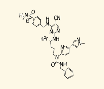 CCC[C@@H](CCCN(C(=O)NCc1ccccc1)c1ccc(-c2cnn(C)c2)cn1)Nc1ncc(C#N)c(NCc2ccc(S(N)(=O)=O)cc2)n1